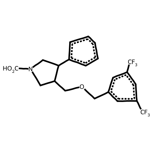 O=C(O)N1CC(COCc2cc(C(F)(F)F)cc(C(F)(F)F)c2)C(c2ccccc2)C1